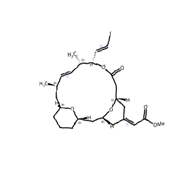 COC(=O)/C=C1\C[C@H]2CC(=O)O[C@@H](/C=C/I)[C@@H](C)/C=C/[C@H](C)C[C@H]3CCC[C@@H](C[C@@H](C1)O2)O3